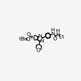 CCNC(=O)Nc1ccc(-c2nc3c(c(C4CCOCC4)n2)CN(C(=O)OC(C)(C)C)C3)cc1